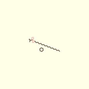 C1CCCCC1.C=C(C)C(=O)OCCCCCCCCCCCCCCCCCC